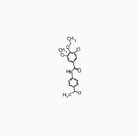 CCOc1c(Cl)cc(C(=O)Nc2ccc(C(C)=O)cc2)cc1OC